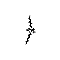 CCCCCCCOP(=O)(S)S(=S)CCCCCCC.[Zn]